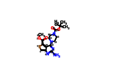 COC(=O)c1scc2nc(N)nc(N3CCN(C(=O)OC(C)(C)C)CC3)c12